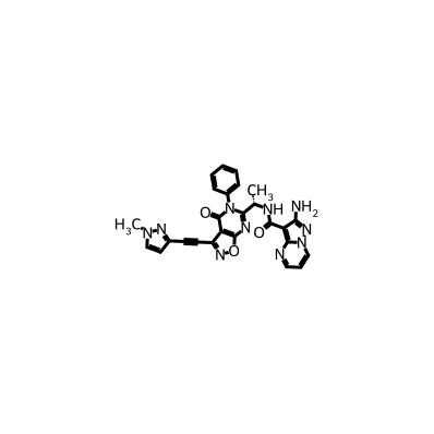 C[C@H](NC(=O)c1c(N)nn2cccnc12)c1nc2onc(C#Cc3ccn(C)n3)c2c(=O)n1-c1ccccc1